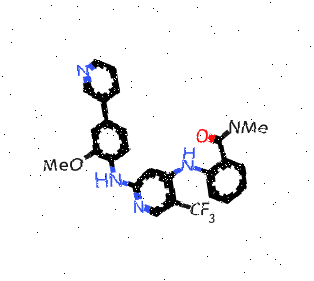 CNC(=O)c1ccccc1Nc1cc(Nc2ccc(-c3cccnc3)cc2OC)ncc1C(F)(F)F